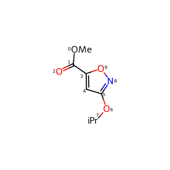 COC(=O)c1cc(OC(C)C)no1